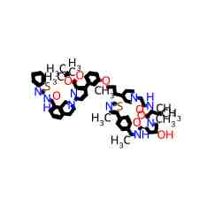 Cc1ncsc1-c1ccc([C@H](C)NC(=O)[C@@H]2C[C@@H](O)CN2C(=O)[C@@H](NC(=O)CN2CCC(CCCOc3cccc(-c4ccc(N5CCc6cccc(C(=O)Nc7nc8ccccc8s7)c6C5)nc4C(=O)OC(C)(C)C)c3C)CC2)C(C)(C)C)cc1